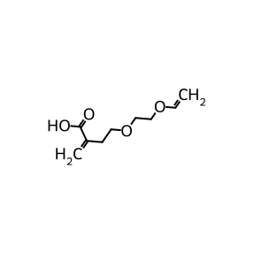 C=COCCOCCC(=C)C(=O)O